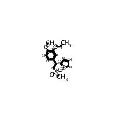 CCOc1cc(C(CS(C)(=O)=O)[C@@H]2C=CCS2)ccc1OC